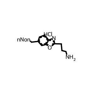 CCCCCCCCCCc1ccc2nc(CCCN)oc2c1.Cl